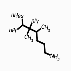 CCCCCCC(CCC)C(C)(CCC)C(C)CCCN